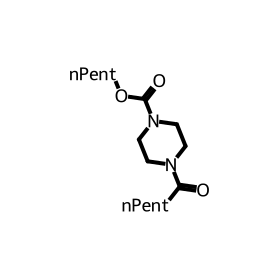 [CH2]CCCCC(=O)N1CCN(C(=O)OCCCCC)CC1